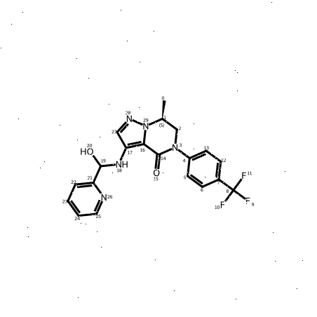 C[C@H]1CN(c2ccc(C(F)(F)F)cc2)C(=O)c2c(NC(O)c3ccccn3)cnn21